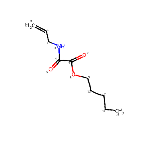 C=CCNC(=O)C(=O)OCCCCC